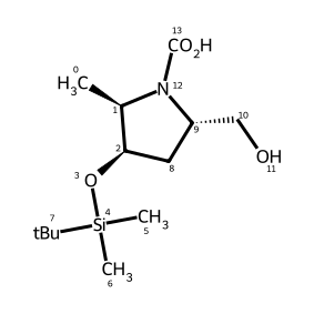 C[C@@H]1[C@H](O[Si](C)(C)C(C)(C)C)C[C@@H](CO)N1C(=O)O